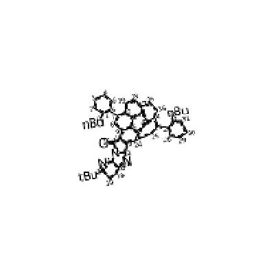 CCCCc1ccccc1-c1cc2c3c(=O)n4c5nc(C(C)(C)C)ccc5nc4c3c3cc(-c4ccccc4CCCC)c4ccc5ccc1c1c5c4c3c21